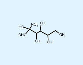 O=CC(O)(C(O)C(O)C(O)CO)[N+](=O)[O-]